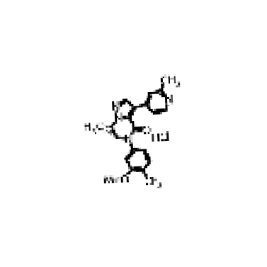 COc1cc(N2C[C@H](C)n3ncc(-c4ccnc(C)c4)c3C2=O)ccc1C(F)(F)F.Cl